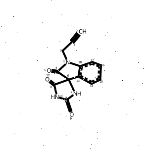 C#CCN1C(=O)C2(NC(=O)NC2=O)c2ccccc21